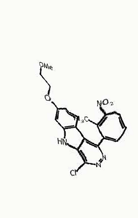 COCCOc1ccc2c(c1)[nH]c1c(Cl)nnc(-c3cccc([N+](=O)[O-])c3C)c12